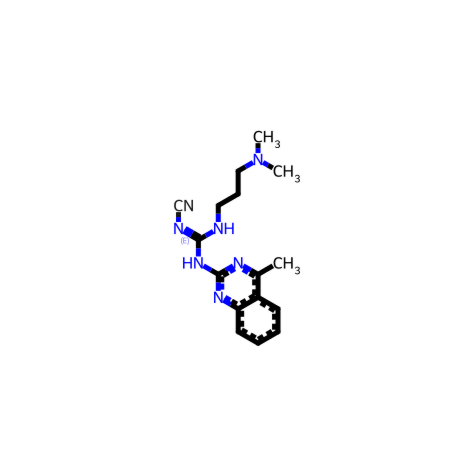 Cc1nc(N/C(=N/C#N)NCCCN(C)C)nc2ccccc12